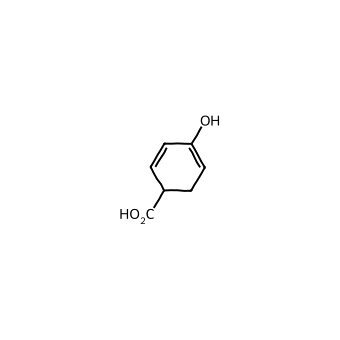 O=C(O)C1C=CC(O)=CC1